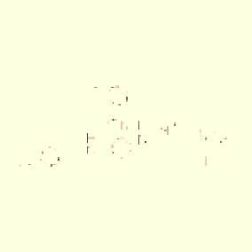 O=C(NCCc1ccc(Cl)cc1Cl)c1ccc(N2CCN(C(=O)CCN3CC(F)(F)C(F)(F)C3)CC2)c(NC(=O)c2cccc(Cl)c2)c1